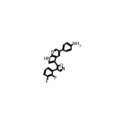 Nc1ccc(-c2cnc3[nH]cc(-c4oncc4-c4cccc(F)c4F)c3c2)cc1